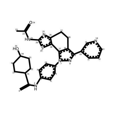 C=C(Nc1ccc(-n2nc(-c3cccnc3)c3c2-c2sc(NC(C)=O)nc2CC3)cc1)C1CCC(O)CC1